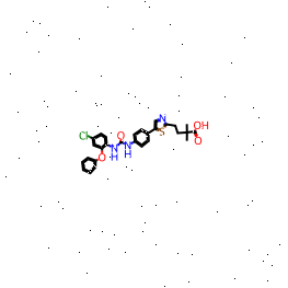 CC(C)(CCc1ncc(-c2ccc(NC(=O)Nc3ccc(Cl)cc3Oc3ccccc3)cc2)s1)C(=O)O